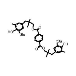 Cc1cc(CC(C)(C)COC(=O)c2ccc(C(=O)OCC(C)(C)Cc3cc(C)c(O)c(C(C)(C)C)c3)cc2)cc(C(C)(C)C)c1O